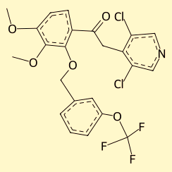 COc1ccc(C(=O)Cc2c(Cl)cncc2Cl)c(OCc2cccc(OC(F)(F)F)c2)c1OC